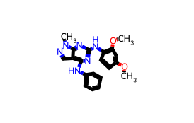 COc1ccc(Nc2nc(Nc3ccccc3)c3cnn(C)c3n2)c(OC)c1